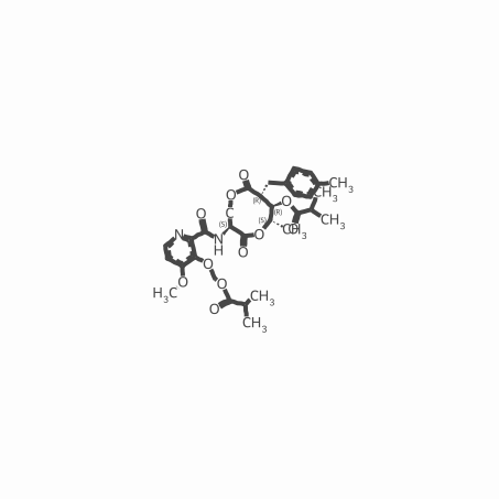 COc1ccnc(C(=O)N[C@H]2COC(=O)[C@H](Cc3ccc(C)cc3)[C@@H](OC(=O)C(C)C)[C@H](C)OC2=O)c1OCOC(=O)C(C)C